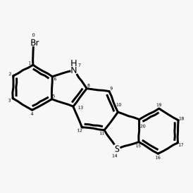 Brc1cccc2c1[nH]c1cc3c(cc12)sc1ccccc13